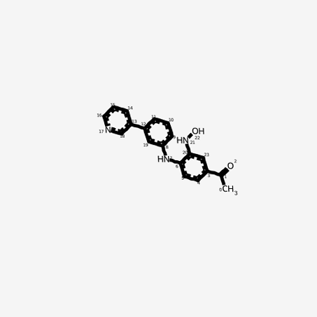 CC(=O)c1ccc(Nc2cccc(-c3cccnc3)c2)c(NO)c1